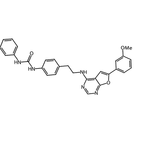 COc1cccc(-c2cc3c(NCCc4ccc(NC(=O)Nc5ccccc5)cc4)ncnc3o2)c1